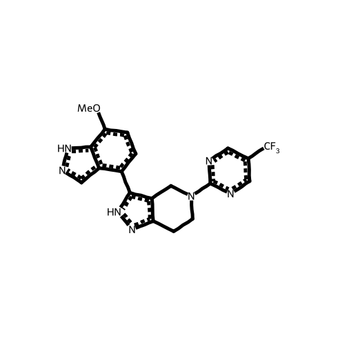 COc1ccc(-c2[nH]nc3c2CN(c2ncc(C(F)(F)F)cn2)CC3)c2cn[nH]c12